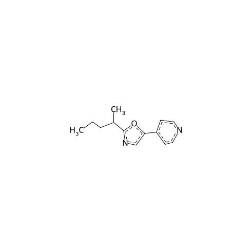 CCCC(C)c1ncc(-c2ccncc2)o1